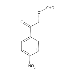 O=COCC(=O)c1ccc([N+](=O)[O-])cc1